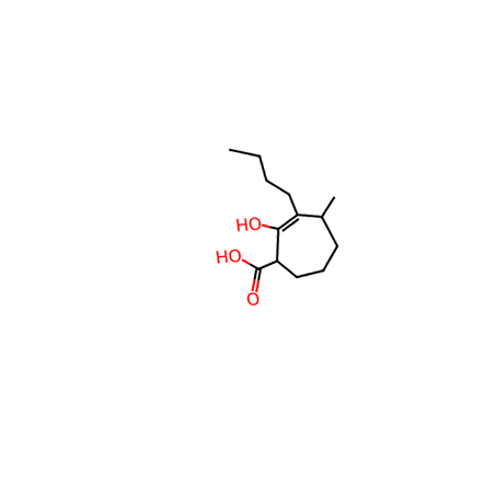 CCCCC1=C(O)C(C(=O)O)CCCC1C